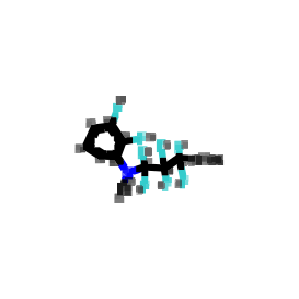 CCCCCCC(F)(F)C(F)(F)C(F)(F)N(CC)c1cccc(F)c1F